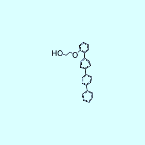 OCCOc1ccccc1-c1ccc(-c2ccc(-c3ccccc3)cc2)cc1